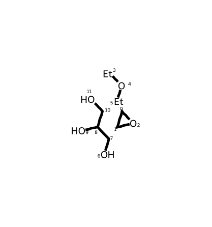 C1CO1.CCOCC.OCC(O)CO